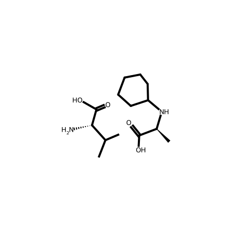 CC(C)[C@H](N)C(=O)O.C[C@H](NC1CCCCC1)C(=O)O